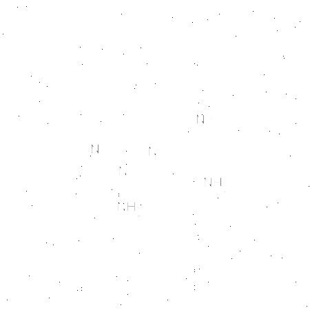 Nc1ncc2cnn(N)n12